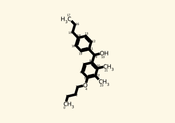 CCCCOc1ccc(C(O)c2ccc(CCC)cc2)c(C)c1C